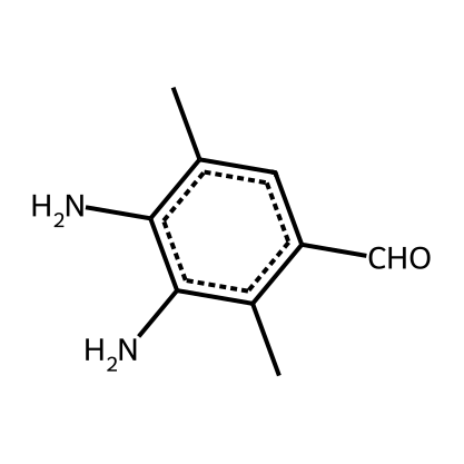 Cc1cc(C=O)c(C)c(N)c1N